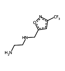 NCCNCc1cc(C(F)(F)F)no1